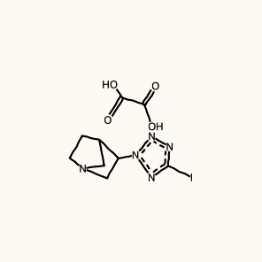 Ic1nnn(C2CN3CCC2C3)n1.O=C(O)C(=O)O